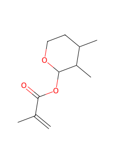 C=C(C)C(=O)OC1OCCC(C)C1C